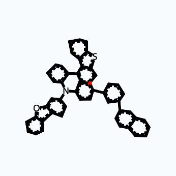 c1cc(-c2ccc(N(c3ccc4c(c3)oc3ccccc34)c3ccccc3-c3cccc4sc5ccccc5c34)cc2)cc(-c2ccc3ccccc3c2)c1